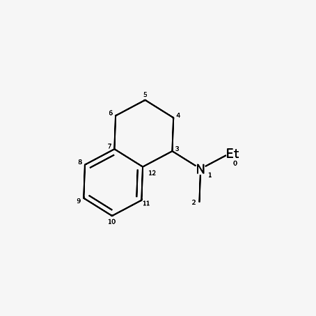 CCN(C)C1CCCc2ccccc21